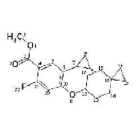 COC(=O)c1cc(C2CC2)c(OC2CCC3(CC2)CC3)cc1F